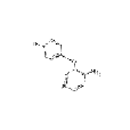 Nc1ccncc1Oc1ccc(Cl)cc1